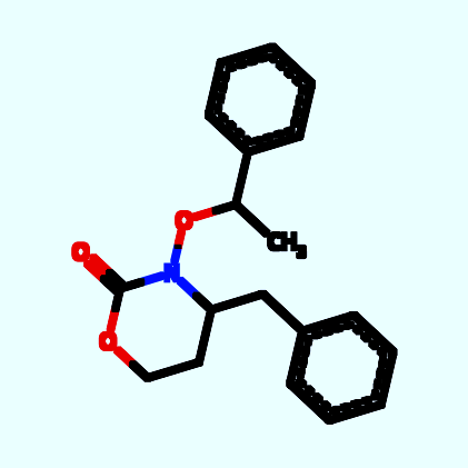 CC(ON1C(=O)OCCC1Cc1ccccc1)c1ccccc1